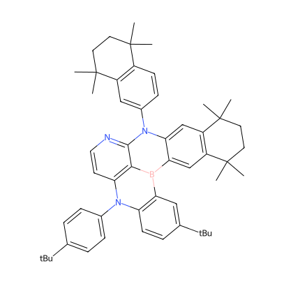 CC(C)(C)c1ccc(N2c3ccc(C(C)(C)C)cc3B3c4cc5c(cc4N(c4ccc6c(c4)C(C)(C)CCC6(C)C)c4nccc2c43)C(C)(C)CCC5(C)C)cc1